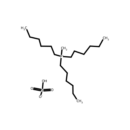 CCCCCC[P+](C)(CCCCCC)CCCCCC.O=S(=O)([O-])O